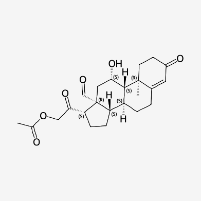 CC(=O)OCC(=O)[C@H]1CC[C@H]2[C@@H]3CCC4=CC(=O)CC[C@]4(C)[C@H]3[C@@H](O)C[C@]12C=O